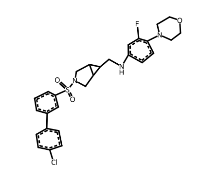 O=S(=O)(c1cccc(-c2ccc(Cl)cc2)c1)N1CC2C(CNc3ccc(N4CCOCC4)c(F)c3)C2C1